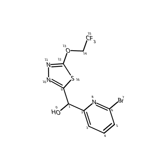 OC(c1cccc(Br)n1)c1nnc(OCC(F)(F)F)s1